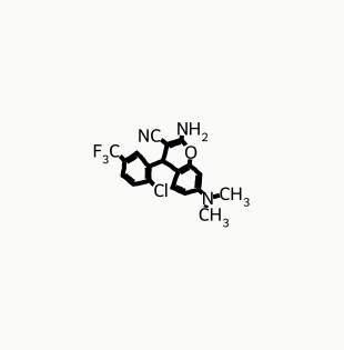 CN(C)c1ccc2c(c1)OC(N)=C(C#N)C2c1cc(C(F)(F)F)ccc1Cl